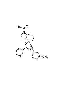 Cc1cccc(C#CC2(OC(=O)c3cccnc3)CCCC3C2CCN3C(=O)O)c1